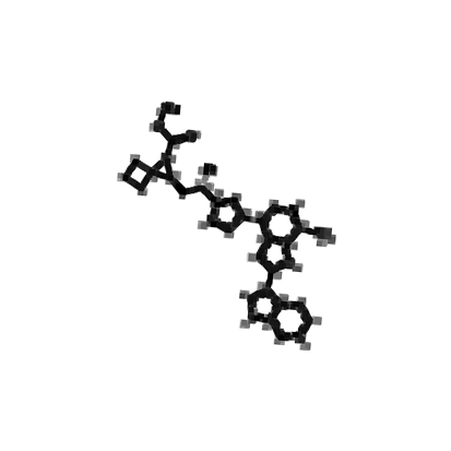 CC[C@@H](C[C@@H]1N(C(=O)OC(C)(C)C)C12CCC2)n1cc(-c2cnc(N)c3oc(-c4csc5cnccc45)cc23)cn1